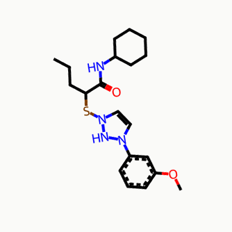 CCCC(SN1C=CN(c2cccc(OC)c2)N1)C(=O)NC1CCCCC1